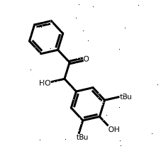 CC(C)(C)c1cc(C(O)C(=O)c2ccccc2)cc(C(C)(C)C)c1O